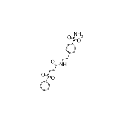 NS(=O)(=O)c1ccc(CCNC(=O)/C=C/S(=O)(=O)c2ccccc2)cc1